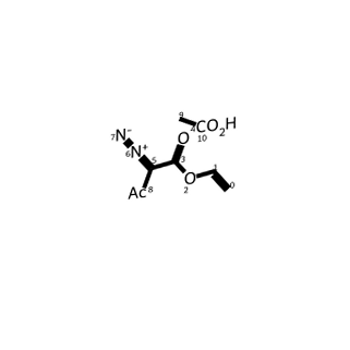 C=COC(=O)C(=[N+]=[N-])C(C)=O.CC(=O)O